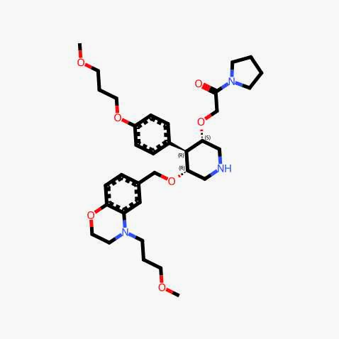 COCCCOc1ccc([C@@H]2[C@@H](OCc3ccc4c(c3)N(CCCOC)CCO4)CNC[C@H]2OCC(=O)N2CCCC2)cc1